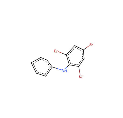 Brc1cc(Br)c(Nc2ccccc2)c(Br)c1